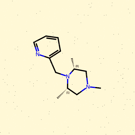 C[C@@H]1CN(C)C[C@H](C)N1Cc1ccccn1